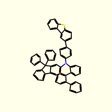 c1ccc(-c2ccccc2-c2ccccc2N(c2ccc(-c3ccc4sc5ccccc5c4c3)cc2)c2ccc3c(c2)C(c2ccccc2)(c2ccccc2)c2ccccc2-3)cc1